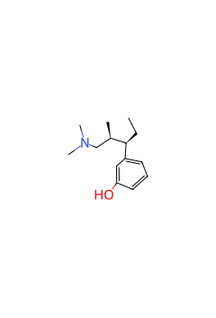 CC[C@@H](c1cccc(O)c1)[C@H](C)CN(C)C